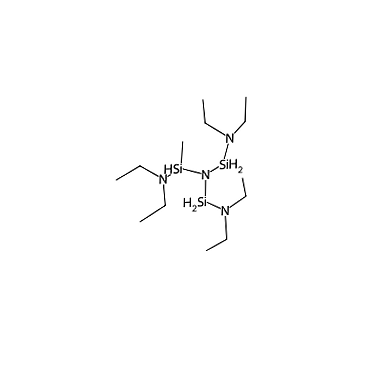 CCN(CC)[SiH2]N([SiH2]N(CC)CC)[SiH](C)N(CC)CC